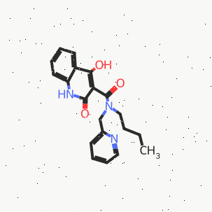 CCCCN(Cc1ccccn1)C(=O)c1c(O)c2ccccc2[nH]c1=O